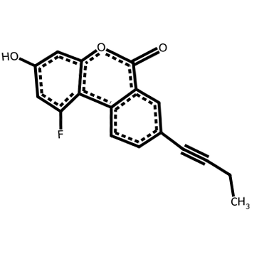 CCC#Cc1ccc2c(c1)c(=O)oc1cc(O)cc(F)c12